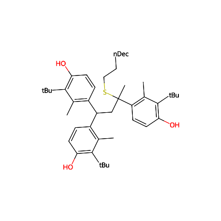 CCCCCCCCCCCCSC(C)(CC(c1ccc(O)c(C(C)(C)C)c1C)c1ccc(O)c(C(C)(C)C)c1C)c1ccc(O)c(C(C)(C)C)c1C